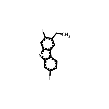 CCc1cc2c(cc1I)sc1cc(I)ccc12